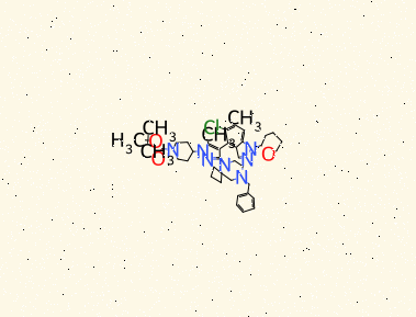 Cc1cc2c(cnn2C2CCCCO2)c(-c2c(N3CCN(Cc4ccccc4)CC34CCC4)nn(C3CCN(C(=O)OC(C)(C)C)CC3)c2C)c1Cl